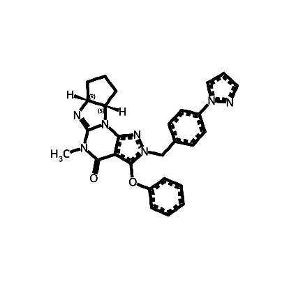 CN1C(=O)c2c(nn(Cc3ccc(-n4cccn4)cc3)c2Oc2ccccc2)N2C1=N[C@@H]1CCC[C@@H]12